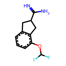 N=C(N)C1Cc2cccc(OC(F)F)c2C1